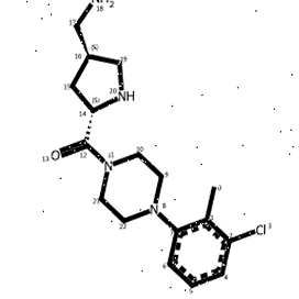 Cc1c(Cl)cccc1N1CCN(C(=O)[C@@H]2C[C@@H](CN)CN2)CC1